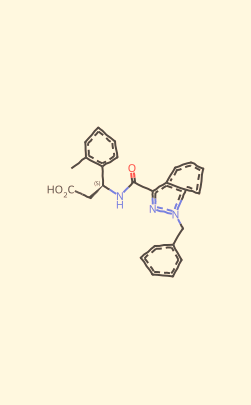 Cc1ccccc1[C@H](CC(=O)O)NC(=O)c1nn(Cc2ccccc2)c2ccccc12